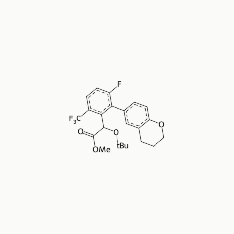 COC(=O)C(OC(C)(C)C)c1c(C(F)(F)F)ccc(F)c1-c1ccc2c(c1)CCCO2